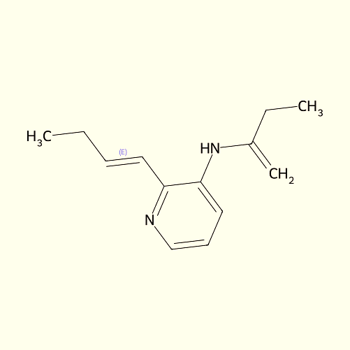 C=C(CC)Nc1cccnc1/C=C/CC